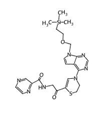 C[Si](C)(C)CCOCn1ccc2c(N3C=C(C(=O)CNC(=O)c4cnccn4)SCC3)ncnc21